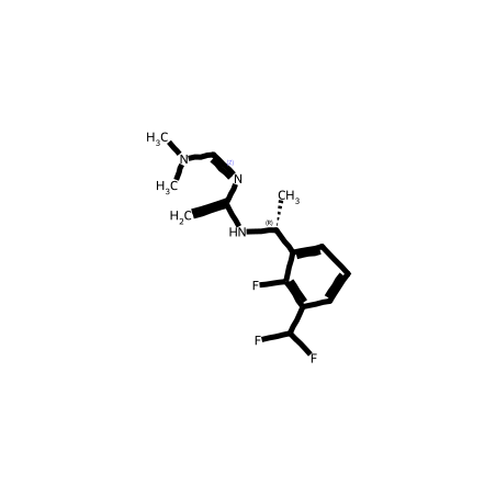 C=C(/N=C\N(C)C)N[C@H](C)c1cccc(C(F)F)c1F